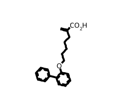 C=C(CCCCCOc1ccccc1-c1ccccc1)C(=O)O